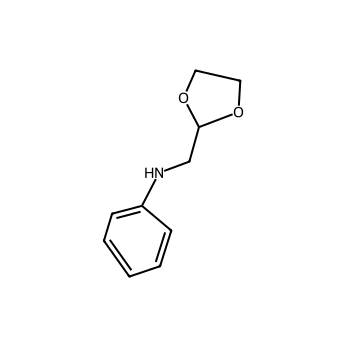 c1ccc(NCC2OCCO2)cc1